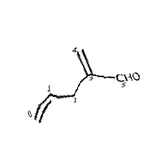 C=CCC(=C)C=O